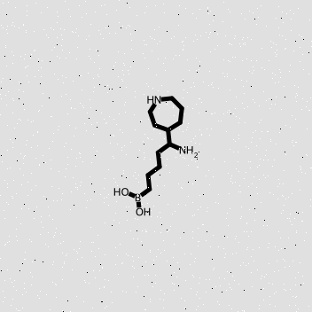 NC(CCCCB(O)O)C1CCCNCC1